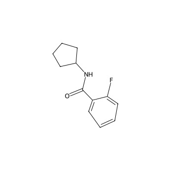 O=C(NC1CCCC1)c1ccccc1F